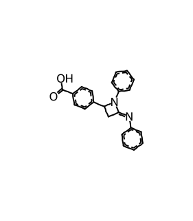 O=C(O)c1ccc(C2CC(=Nc3ccccc3)N2c2ccccc2)cc1